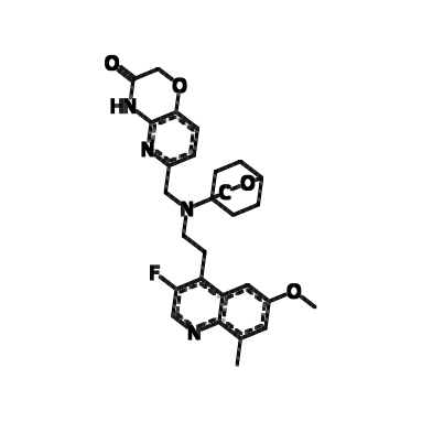 COc1cc(C)c2ncc(F)c(CCN(Cc3ccc4c(n3)NC(=O)CO4)C34CCC(CC3)OC4)c2c1